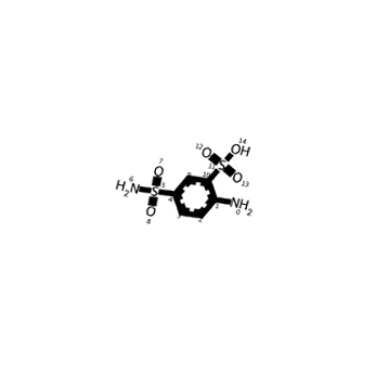 Nc1ccc(S(N)(=O)=O)cc1S(=O)(=O)O